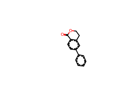 O=C1OCCc2cc(-c3ccccc3)ccc21